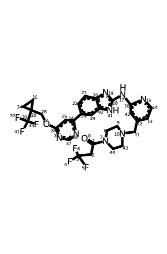 O=C(CC(F)(F)F)N1CCN(Cc2ccnc(Nc3nc4ccc(-c5cc(OCC6(C(F)(F)F)CC6)ncn5)cc4[nH]3)c2)CC1